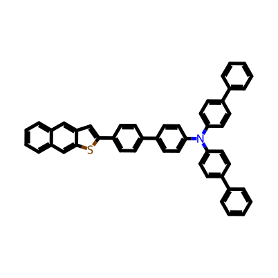 c1ccc(-c2ccc(N(c3ccc(-c4ccccc4)cc3)c3ccc(-c4ccc(-c5cc6cc7ccccc7cc6s5)cc4)cc3)cc2)cc1